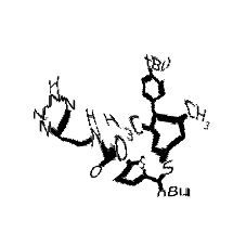 CCCCC(Sc1cc(C)c(-c2ccc(C(C)(C)C)cc2)c(C)c1)c1ccc(OC(=O)NCc2nn[nH]n2)s1